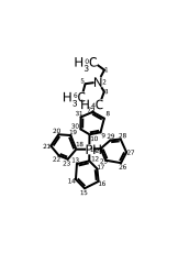 CCN(CC)CC.c1ccc([PH](c2ccccc2)(c2ccccc2)c2ccccc2)cc1